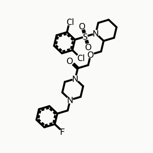 O=C(COCC1CCCCN1S(=O)(=O)c1c(Cl)cccc1Cl)N1CCN(Cc2ccccc2F)CC1